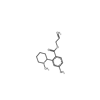 C=CCOC(=O)c1ccc(N)cc1C1CCCCN1C